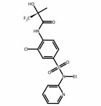 CCN(c1ccccn1)S(=O)(=O)c1ccc(NC(=O)[C@@](C)(O)C(F)(F)F)c(Cl)c1